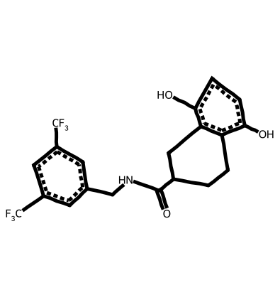 O=C(NCc1cc(C(F)(F)F)cc(C(F)(F)F)c1)C1CCc2c(O)ccc(O)c2C1